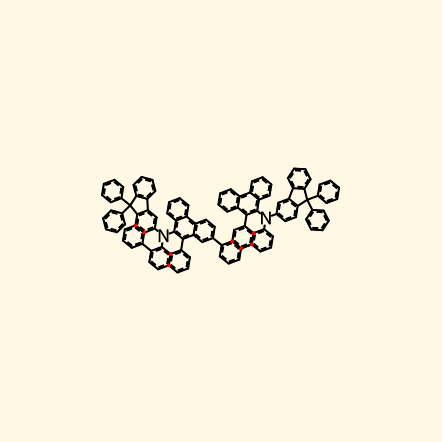 c1ccc(-c2ccccc2N(c2ccc3c(c2)-c2ccccc2C3(c2ccccc2)c2ccccc2)c2c(-c3ccccc3)c3cc(-c4cccc(-c5cccc(N(c6ccc7c(c6)-c6ccccc6C7(c6ccccc6)c6ccccc6)c6c(-c7ccccc7)c7ccccc7c7ccccc67)c5)c4)ccc3c3ccccc23)cc1